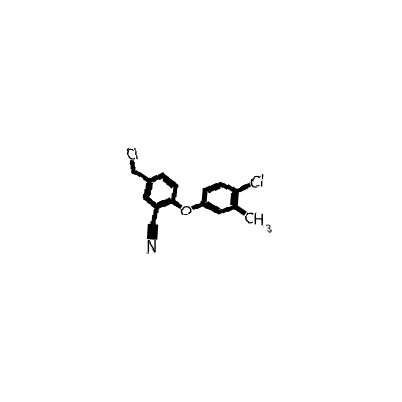 Cc1cc(Oc2ccc(CCl)cc2C#N)ccc1Cl